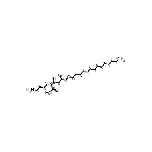 CCCCCCCCCCCCCCOCC(O)CN[C@@H](CCCCN)C(=O)O